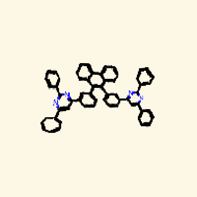 C1=CC=C(c2cc(-c3cccc(-c4c(-c5cccc(-c6cc(-c7ccccc7)nc(-c7ccccc7)n6)c5)c5ccccc5c5ccccc45)c3)nc(-c3ccccc3)n2)CC=C1